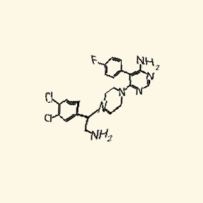 NCC(c1ccc(Cl)c(Cl)c1)N1CCN(c2ncnc(N)c2-c2ccc(F)cc2)CC1